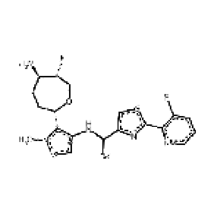 Cn1ncc(NC(O)c2csc(-c3ncccc3F)n2)c1[C@@H]1CC[C@@H](N)[C@H](F)CO1